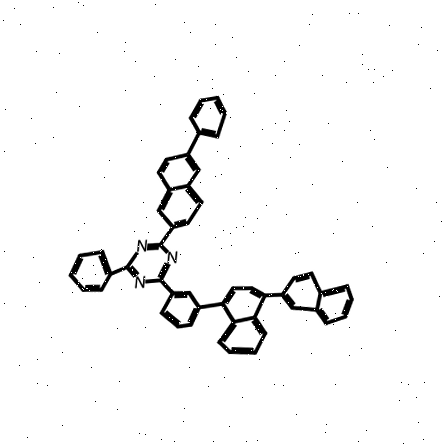 c1ccc(-c2ccc3cc(-c4nc(-c5ccccc5)nc(-c5cccc(-c6ccc(-c7ccc8ccccc8c7)c7ccccc67)c5)n4)ccc3c2)cc1